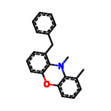 Cc1cccc2c1N(C)c1c(Cc3ccccc3)cccc1O2